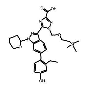 CCc1cc(O)ccc1-c1ccc2c(-c3nc(C(=O)O)nn3COCC[Si](C)(C)C)nn(C3CCCCO3)c2c1